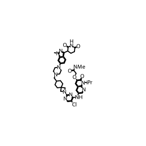 CNC(=O)COc1cc2cc(Nc3nc(N4CC5(CCC(CN6CCN(c7ccc8c(C9CCC(=O)NC9=O)nn(C)c8c7)CC6)CC5)C4)ncc3Cl)cnc2n(C(C)C)c1=O